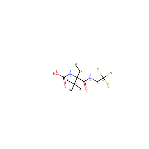 CCC(NC(=O)O)(C(=O)NCC(F)(F)F)C(C)(C)C